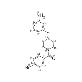 Nc1cc(CN2CCN(C(=O)c3ccc(Br)cc3)CC2)ccn1